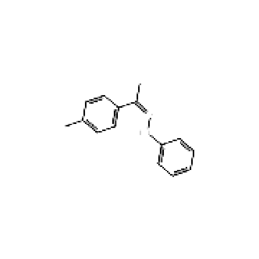 CC(=NNc1ccccc1)c1ccc(C)cc1